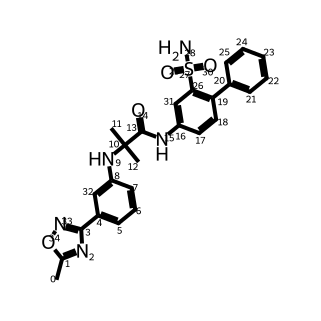 Cc1nc(-c2cccc(NC(C)(C)C(=O)Nc3ccc(-c4ccccc4)c(S(N)(=O)=O)c3)c2)no1